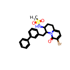 CS(=O)(=O)NC1CCc2ccc(Br)c(=O)n2C1Cc1cccc(-c2ccccc2)c1